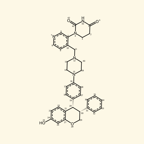 O=C1CCN(c2cnccc2CN2CCN(c3ccc([C@H]4c5ccc(O)cc5OC[C@H]4c4ccccc4)cc3)CC2)C(=O)N1